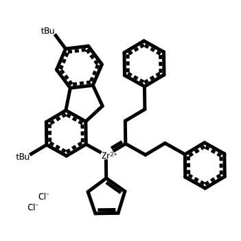 CC(C)(C)c1ccc2c(c1)-c1cc(C(C)(C)C)c[c]([Zr+2]([C]3=CC=CC3)=[C](CCc3ccccc3)CCc3ccccc3)c1C2.[Cl-].[Cl-]